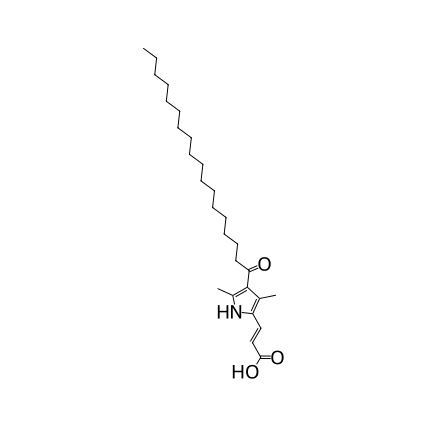 CCCCCCCCCCCCCCCCCC(=O)c1c(C)[nH]c(C=CC(=O)O)c1C